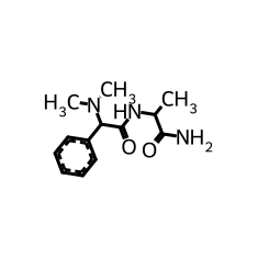 CC(NC(=O)C(c1ccccc1)N(C)C)C(N)=O